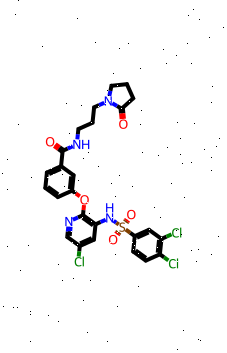 O=C(NCCCN1CCCC1=O)c1cccc(Oc2ncc(Cl)cc2NS(=O)(=O)c2ccc(Cl)c(Cl)c2)c1